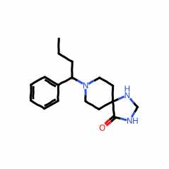 CCC[C](c1ccccc1)N1CCC2(CC1)NCNC2=O